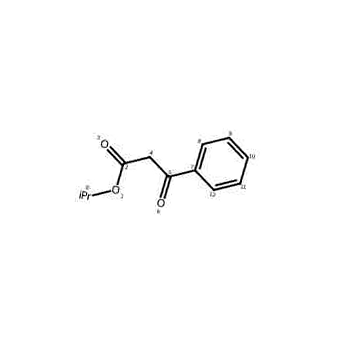 CC(C)OC(=O)CC(=O)c1ccccc1